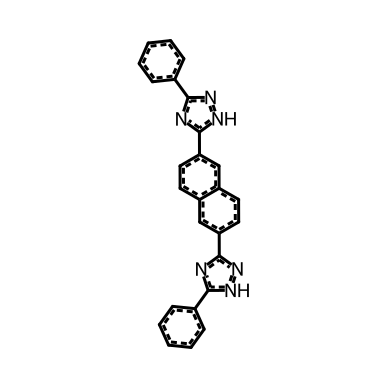 c1ccc(-c2n[nH]c(-c3ccc4cc(-c5n[nH]c(-c6ccccc6)n5)ccc4c3)n2)cc1